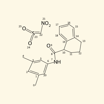 Cc1cc(C)cc(NC(=O)C2CCCc3ccccc32)c1.O=[N+]([O-])C=S(=O)=O